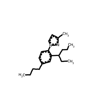 CCCCc1ccc(-n2ccc(C)n2)c(C(CC)CCC)c1